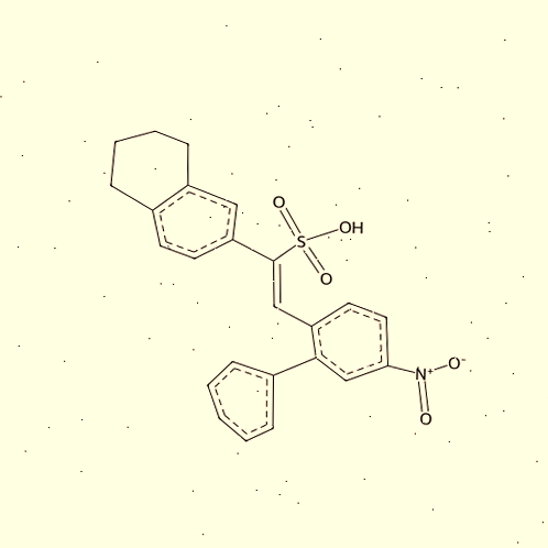 O=[N+]([O-])c1ccc(C=C(c2ccc3c(c2)CCCC3)S(=O)(=O)O)c(-c2ccccc2)c1